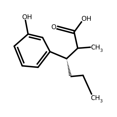 CCC[C@H](c1cccc(O)c1)C(C)C(=O)O